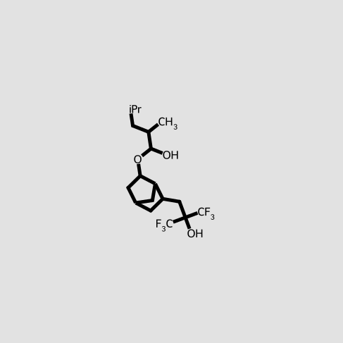 CC(C)CC(C)C(O)OC1CC2CC(CC(O)(C(F)(F)F)C(F)(F)F)C1C2